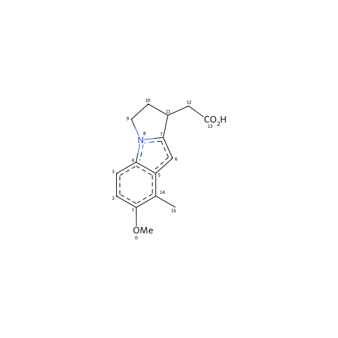 COc1ccc2c(cc3n2CCC3CC(=O)O)c1C